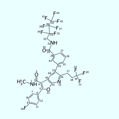 CNC(=O)c1c(-c2ccc(F)cc2)oc2nc(CCC(F)(F)F)c(-c3cccc(C(=O)NCC(F)(F)C(F)(F)C(F)(F)F)c3)cc12